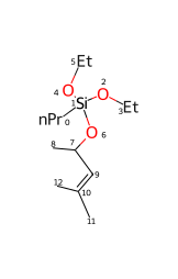 CCC[Si](OCC)(OCC)OC(C)C=C(C)C